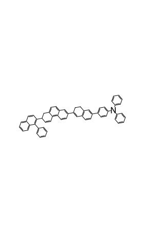 C1=CC(c2ccc3ccccc3c2-c2ccccc2)Cc2ccc3cc(C4=Cc5ccc(-c6ccc(N(c7ccccc7)c7ccccc7)cc6)cc5CC4)ccc3c21